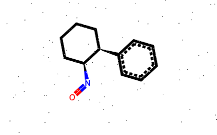 O=N[C@H]1CCCC[C@H]1c1ccccc1